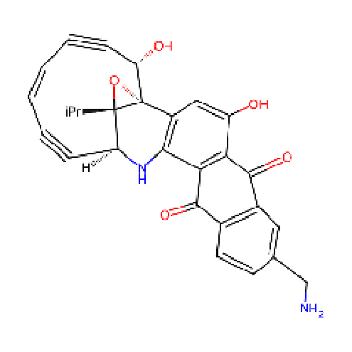 CC(C)[C@@]12O[C@]13c1cc(O)c4c(c1N[C@H]2C#C/C=C\C#C[C@@H]3O)C(=O)c1ccc(CN)cc1C4=O